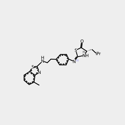 Cc1cccc2sc(NCCc3ccc(/N=C4/N[C@@H](CC(C)C)C(=O)S4)cc3)nc12